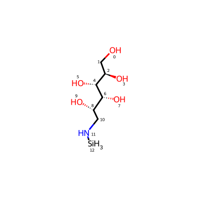 OC[C@@H](O)[C@@H](O)[C@H](O)[C@@H](O)CN[SiH3]